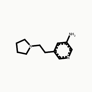 Nc1cncc(CCN2CCCC2)c1